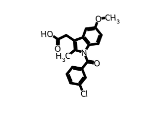 COc1ccc2c(c1)c(CC(=O)O)c(C)n2C(=O)c1cccc(Cl)c1